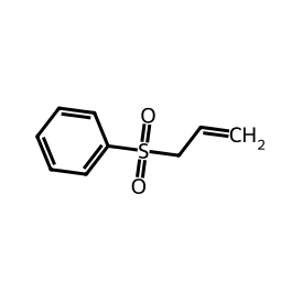 C=CCS(=O)(=O)c1ccccc1